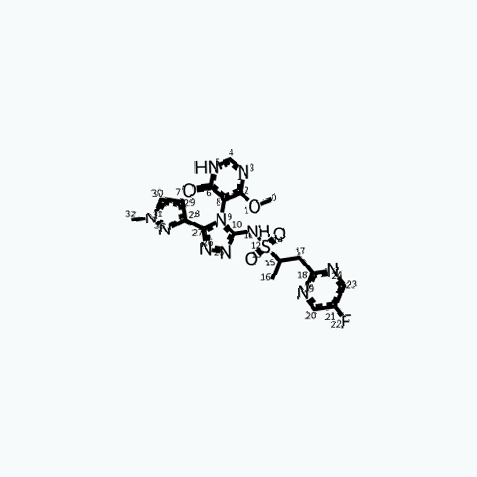 COc1nc[nH]c(=O)c1-n1c(NS(=O)(=O)C(C)Cc2ncc(F)cn2)nnc1-c1ccn(C)n1